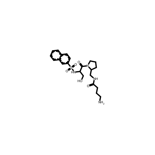 NCCCC(=O)NCC1CCCN1C(=O)C(CO)NS(=O)(=O)c1ccc2ccccc2c1